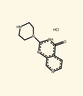 Cl.O=c1[nH]c(N2CCNCC2)nc2cnccc12